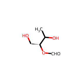 CC(O)[C@@H](CO)OC=O